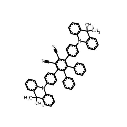 CC1(C)c2ccccc2N(c2ccc(-c3c(C#N)c(C#N)c(-c4ccc(N5c6ccccc6C(C)(C)c6ccccc65)cc4)c(-c4ccccc4)c3-c3ccccc3)cc2)c2ccccc21